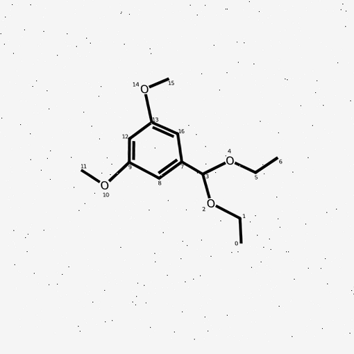 CCOC(OCC)c1cc(OC)cc(OC)c1